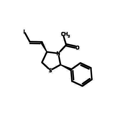 CC(=O)N1[C@H](/C=C/I)CS[C@@H]1c1ccccc1